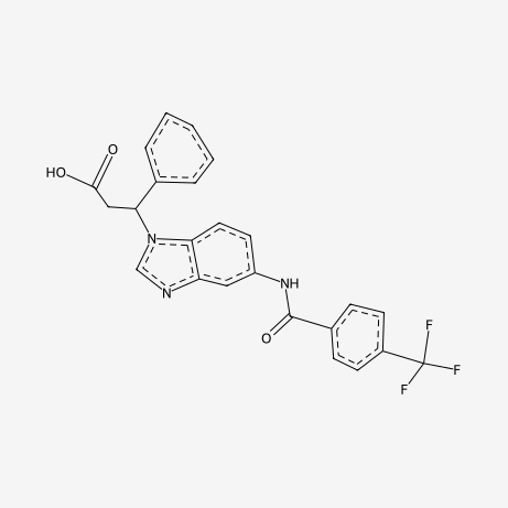 O=C(O)CC(c1ccccc1)n1cnc2cc(NC(=O)c3ccc(C(F)(F)F)cc3)ccc21